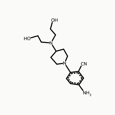 N#Cc1cc(N)ccc1N1CCC(N(CCO)CCO)CC1